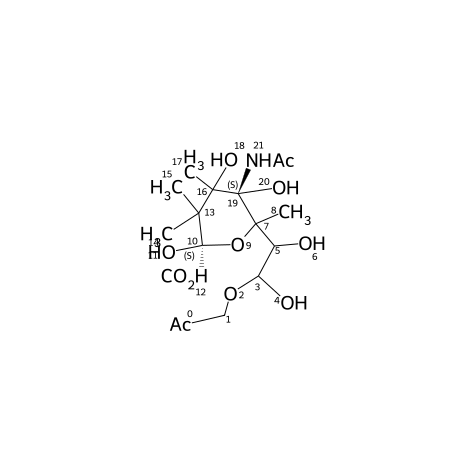 CC(=O)COC(O)C(O)C1(C)O[C@](O)(C(=O)O)C(C)(C)C(C)(O)[C@@]1(O)NC(C)=O